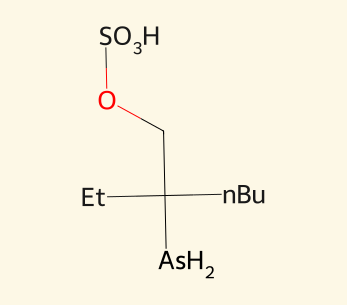 CCCCC([AsH2])(CC)COS(=O)(=O)O